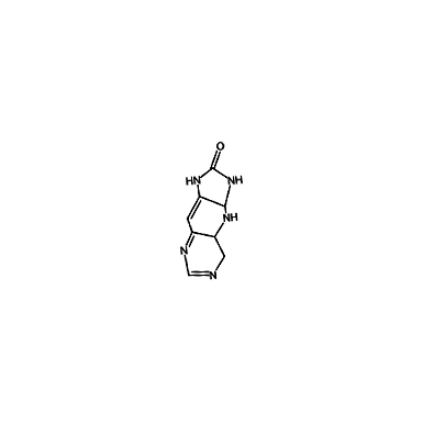 O=C1NC2=CC3=NC=NCC3NC2N1